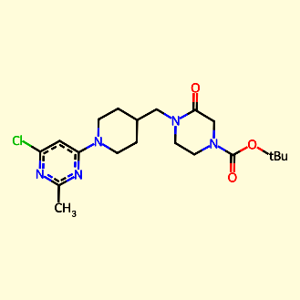 Cc1nc(Cl)cc(N2CCC(CN3CCN(C(=O)OC(C)(C)C)CC3=O)CC2)n1